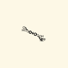 CC(C)(c1ccc(OCC(O)CCl)cc1)C1C=CC(OCC(O)Cn2cc(CF)nn2)=CC1